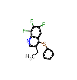 CCc1cnc2c(F)c(F)c(F)cc2c1Sc1ccccc1